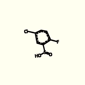 O=S(O)c1cc(Cl)ccc1F